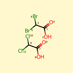 O=C(O)C(Br)Br.O=C(O)C(Cl)Cl